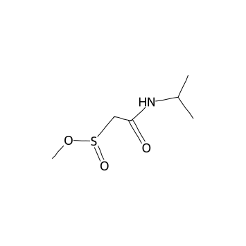 COS(=O)CC(=O)NC(C)C